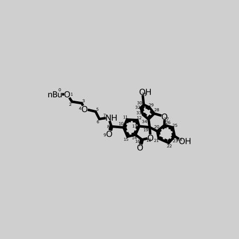 CCCCOCCOCCNC(=O)c1ccc2c(c1)C(=O)OC21c2ccc(O)cc2Oc2cc(O)ccc21